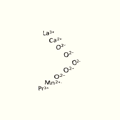 [Ca+2].[La+3].[Mn+2].[O-2].[O-2].[O-2].[O-2].[O-2].[Pr+3]